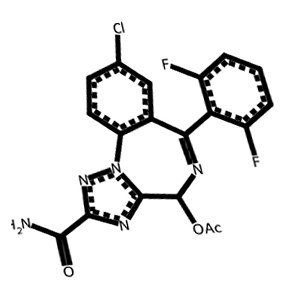 CC(=O)OC1N=C(c2c(F)cccc2F)c2cc(Cl)ccc2-n2nc(C(N)=O)nc21